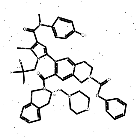 Cc1c(C(=O)N(C)c2ccc(O)cc2)cc(-c2cc3c(cc2C(=O)N2Cc4ccccc4C[C@H]2CN2CCOCC2)CN(C(=O)Oc2ccccc2)CC3)n1CC(F)(F)F